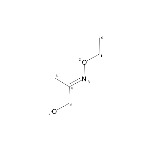 CCO/N=C(\C)C[O]